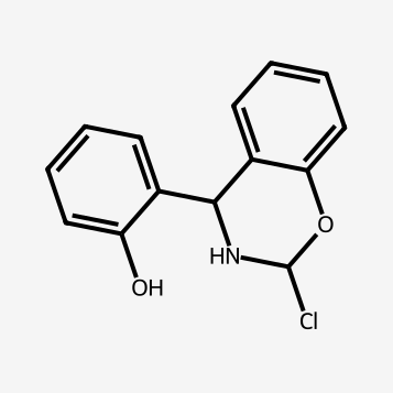 Oc1ccccc1C1NC(Cl)Oc2ccccc21